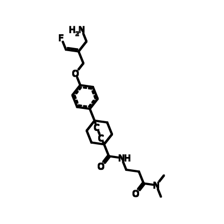 CN(C)C(=O)CCNC(=O)C12CCC(c3ccc(OCC(=CF)CN)cc3)(CC1)CC2